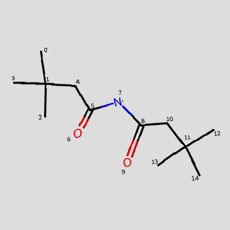 CC(C)(C)CC(=O)[N]C(=O)CC(C)(C)C